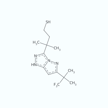 CC(C)(CCS)c1n[nH]c2cc(C(C)(C)C(F)(F)F)nn12